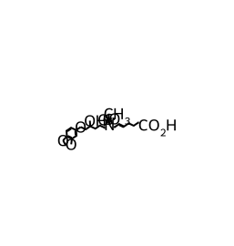 CS(=O)(=O)N(CC=CCCCC(=O)O)CCCC(O)COc1ccc2c(c1)OCO2